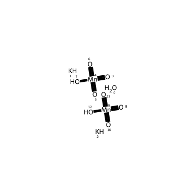 O.[KH].[KH].[O]=[Mn](=[O])(=[O])[OH].[O]=[Mn](=[O])(=[O])[OH]